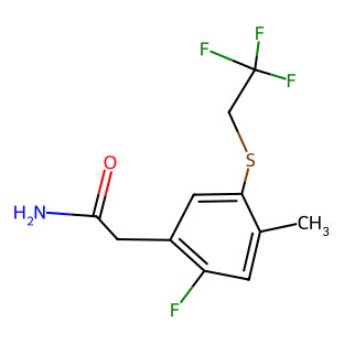 Cc1cc(F)c(CC(N)=O)cc1SCC(F)(F)F